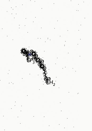 C=CC(=O)OCCCCCCOc1ccc(OC(=O)C2CCC(C(=O)Oc3ccc(OC)c(/C=N/N(CCCC(F)(F)F)c4nc5ccccc5s4)c3)CC2)cc1